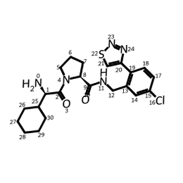 N[C@@H](C(=O)N1CCC[C@H]1C(=O)NCc1cc(Cl)ccc1-c1csnn1)C1CCCCC1